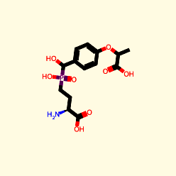 CC(Oc1ccc(C(O)P(=O)(O)CC[C@H](N)C(=O)O)cc1)C(=O)O